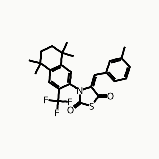 Cc1cccc(C=C2C(=O)SC(=O)N2c2cc3c(cc2C(F)(F)F)C(C)(C)CCC3(C)C)c1